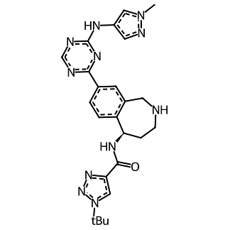 Cn1cc(Nc2ncnc(-c3ccc4c(c3)CNCC[C@H]4NC(=O)c3cn(C(C)(C)C)nn3)n2)cn1